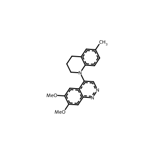 COc1cc2nncc(N3CCCc4cc(C)ccc43)c2cc1OC